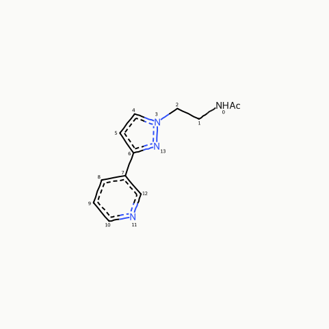 CC(=O)NCCn1ccc(-c2cccnc2)n1